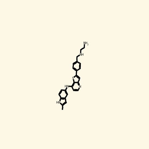 Cc1cc2cc(Nc3ccnc4cc(-c5ccc(CNCCN)cc5)sc34)ccc2[nH]1